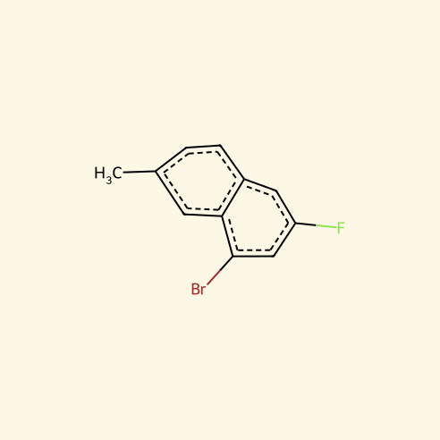 Cc1ccc2cc(F)cc(Br)c2c1